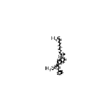 CCCCC/C=C/CCC(=O)Oc1cccc2c1CCC(N(CCC)CCc1cccs1)C2